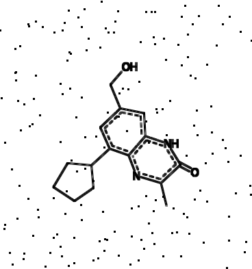 Cc1nc2c(C3CCCC3)cc(CO)cc2[nH]c1=O